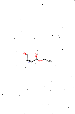 CCOC(=O)/C=C\C=O